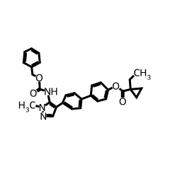 CCC1(C(=O)Oc2ccc(-c3ccc(-c4cnn(C)c4NC(=O)OCc4ccccc4)cc3)cc2)CC1